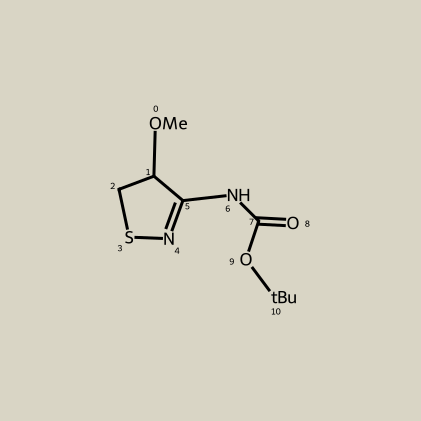 COC1CSN=C1NC(=O)OC(C)(C)C